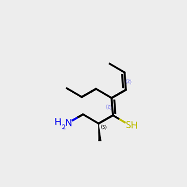 C/C=C\C(CCC)=C(/S)[C@@H](C)CN